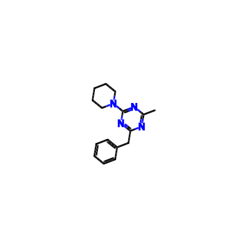 Cc1nc(Cc2ccccc2)nc(N2CCCCC2)n1